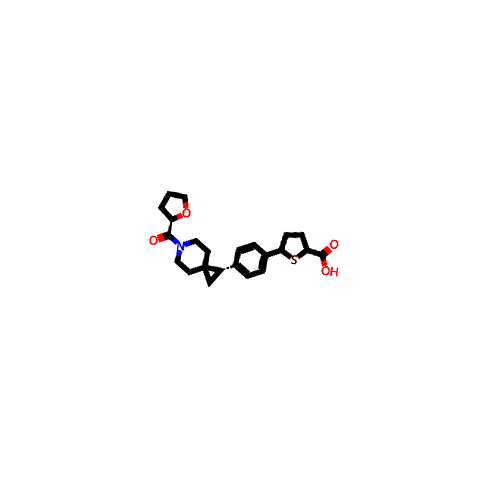 O=C(O)C1CCC(c2ccc([C@@H]3CC34CCN(C(=O)[C@H]3CCCO3)CC4)cc2)S1